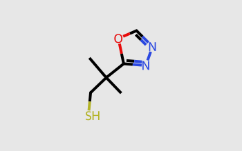 CC(C)(CS)c1nnco1